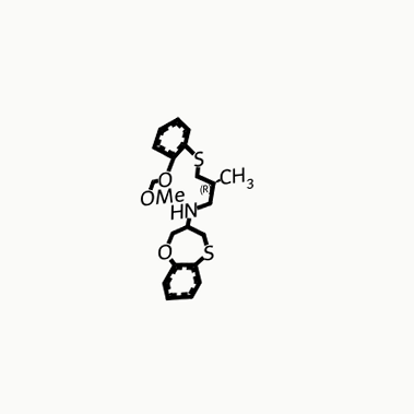 COCOc1ccccc1SC[C@H](C)CNC1COc2ccccc2SC1